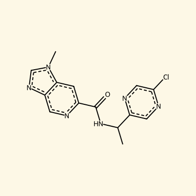 CC(NC(=O)c1cc2c(cn1)ncn2C)c1cnc(Cl)cn1